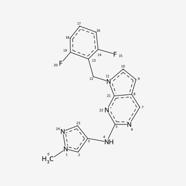 Cn1cc(Nc2ncc3ccn(Cc4c(F)cccc4F)c3n2)cn1